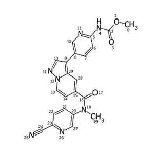 COC(=O)Nc1ccc(-c2cnn3ccc(C(=O)N(C)c4ccc(C#N)nc4)cc23)cn1